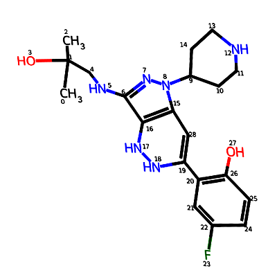 CC(C)(O)CNc1nn(C2CCNCC2)c2c1NNC(c1cc(F)ccc1O)=C2